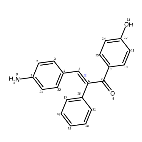 Nc1ccc(/C=C(/C(=O)c2ccc(O)cc2)c2ccccc2)cc1